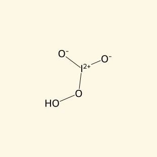 [O-][I+2]([O-])OO